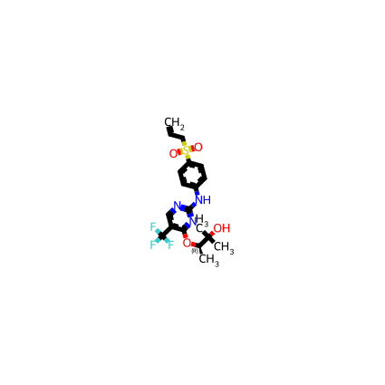 C=CCS(=O)(=O)c1ccc(Nc2ncc(C(F)(F)F)c(O[C@H](C)C(C)(C)O)n2)cc1